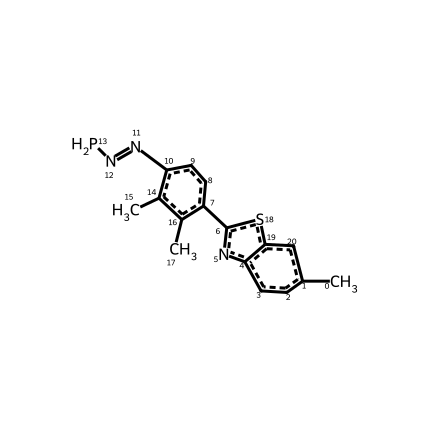 Cc1ccc2nc(-c3ccc(/N=N/P)c(C)c3C)sc2c1